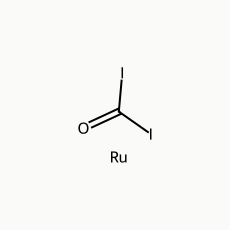 O=C(I)I.[Ru]